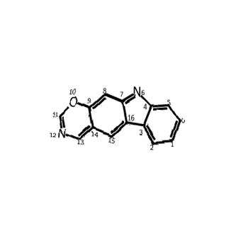 c1ccc2c(c1)nc1cc3ocncc3cc12